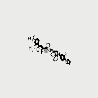 Cc1ccc(C(=O)CCC(=O)NC[C@H]2CN(c3ccc(N4CCCC4)c(F)c3)C(=O)O2)c(C)c1